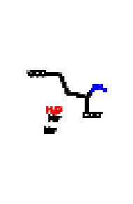 NC(CCC(=O)[O-])C(=O)[O-].O.[Na+].[Na+]